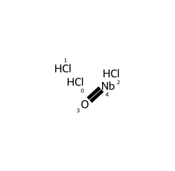 Cl.Cl.Cl.[O]=[Nb]